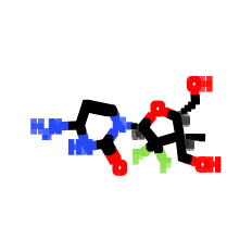 C[C@@]1(CO)[C@@H](CO)O[C@@H](N2C=CC(N)NC2=O)C1(F)F